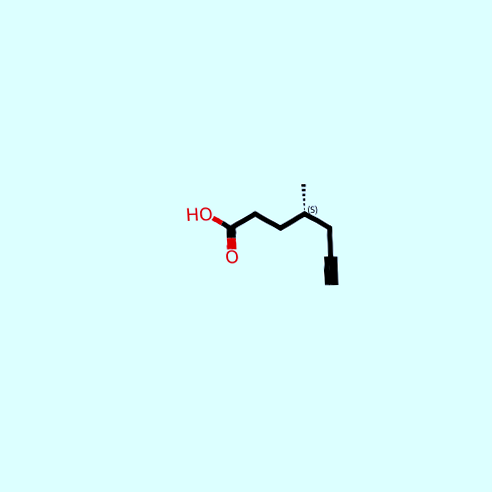 C#CC[C@@H](C)CCC(=O)O